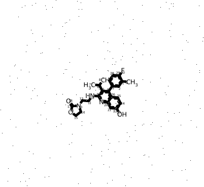 Cc1cc(-c2c(C(C)C)c(NCCN3CCOC3=O)nc3cc(O)ccc23)ccc1F